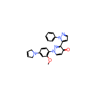 COc1cc(N2CC=CC2)ccc1-n1ccc(=O)c(-c2ccnn2-c2ccccc2)n1